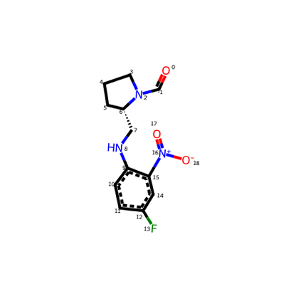 O=[C]N1CCC[C@H]1CNc1ccc(F)cc1[N+](=O)[O-]